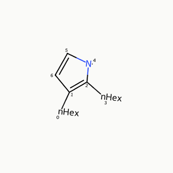 CCCCCCC1=C(CCCCCC)[N]C=C1